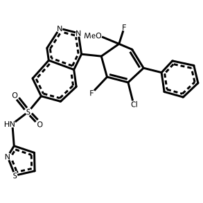 COC1(F)C=C(c2ccccc2)C(Cl)=C(F)C1c1nncc2cc(S(=O)(=O)Nc3ccsn3)ccc12